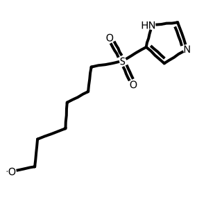 [O]CCCCCCS(=O)(=O)c1cnc[nH]1